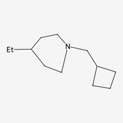 CCC1CCN(CC2CCC2)CC1